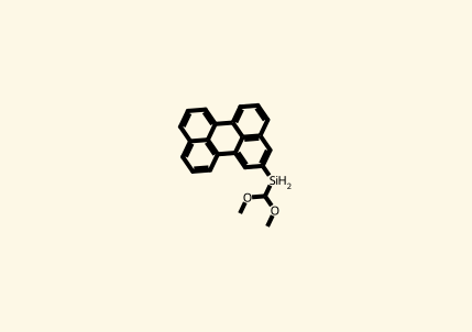 COC(OC)[SiH2]c1cc2cccc3c4cccc5cccc(c(c1)c23)c54